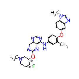 Cc1cc(Nc2ncnc3cnc(O[C@H]4CN(C)CC[C@H]4F)nc23)ccc1Oc1ccc2c(c1)ncn2C